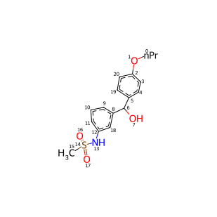 CCCOc1ccc(C(O)c2cccc(NS(C)(=O)=O)c2)cc1